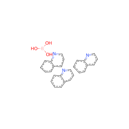 OB(O)O.c1ccc2ncccc2c1.c1ccc2ncccc2c1.c1ccc2ncccc2c1